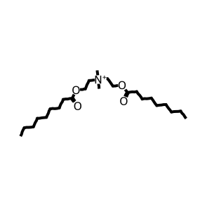 CCCCCCCCC(=O)OCC[N+](C)(C)CCOC(=O)CCCCCCCC